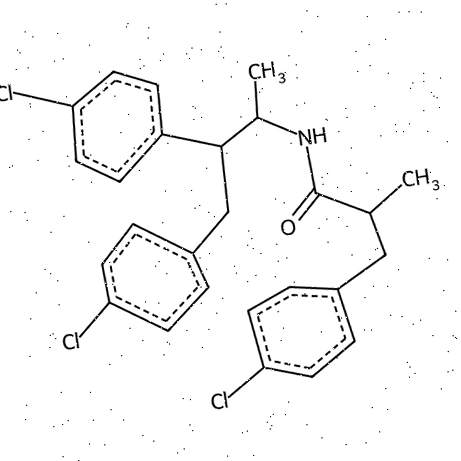 CC(Cc1ccc(Cl)cc1)C(=O)NC(C)C(Cc1ccc(Cl)cc1)c1ccc(Cl)cc1